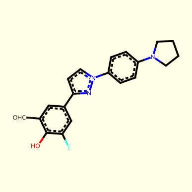 O=Cc1cc(-c2ccn(-c3ccc(N4CCCC4)cc3)n2)cc(F)c1O